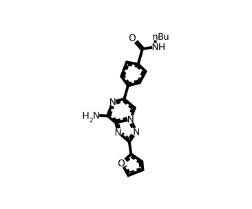 CCCCNC(=O)c1ccc(-c2cn3nc(-c4ccco4)nc3c(N)n2)cc1